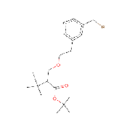 CC(C)(C)OC(=O)C(COCCc1cccc(CBr)c1)C(C)(C)C